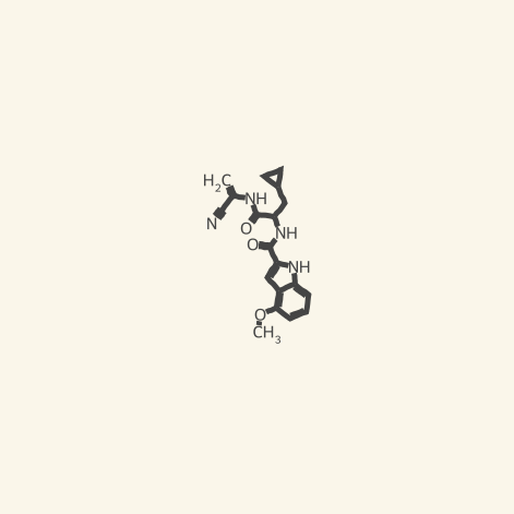 C=C(C#N)NC(=O)C(CC1CC1)NC(=O)c1cc2c(OC)cccc2[nH]1